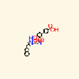 COc1ccc(-c2ccc(C(=O)O)cc2)cc1S(=O)(=O)N(C)CC(O)CNC(C)(C)CC1Cc2ccccc2C1